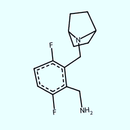 NCc1c(F)ccc(F)c1CN1C2CCC1CC2